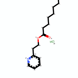 CCCCCCCC(=O)OCCc1ccccn1.Cl